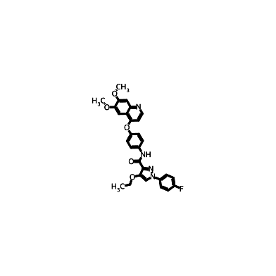 CCOc1cn(-c2ccc(F)cc2)nc1C(=O)Nc1ccc(Oc2ccnc3cc(OC)c(OC)cc23)cc1